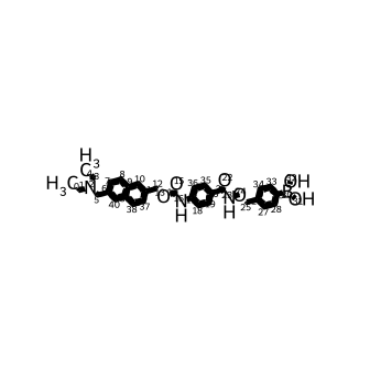 CCN(CC)Cc1ccc2cc(COC(=O)Nc3ccc(C(=O)NOCc4ccc(B(O)O)cc4)cc3)ccc2c1